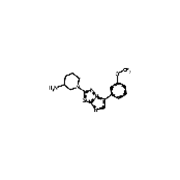 NC1CCCN(c2nn3c(-c4cccc(OC(F)(F)F)c4)cnc3s2)C1